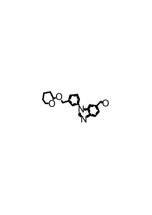 O=Cc1ccc2ncn(-c3cccc(COC4CCCCO4)c3)c2c1